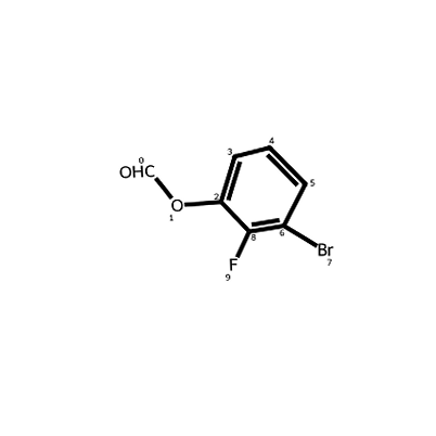 O=COc1cccc(Br)c1F